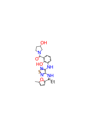 CC[C@@H](Nc1nsnc1Nc1cccc(C(=O)N2CCC(O)C2)c1O)c1ccc(C)o1